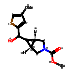 COc1csc(C(O)C2[C@H]3CN(C(=O)OC(C)(C)C)C[C@@H]23)c1